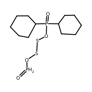 O=[PH2]OSSOP(=O)(C1CCCCC1)C1CCCCC1